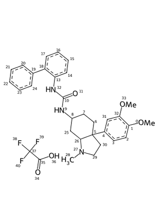 COc1ccc(C23CCC(NC(=O)Nc4ccccc4-c4ccccc4)CC2N(C)CC3)cc1OC.O=C(O)C(F)(F)F